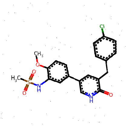 COc1ccc(-c2c[nH]c(=O)c(Cc3ccc(Cl)cc3)c2)cc1NS(C)(=O)=O